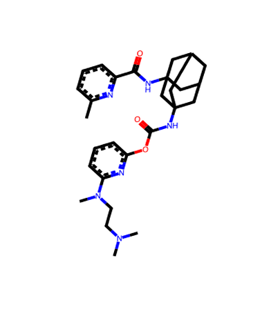 Cc1cccc(C(=O)NC23CC4CC(CC(NC(=O)Oc5cccc(N(C)CCN(C)C)n5)(C4)C2)C3)n1